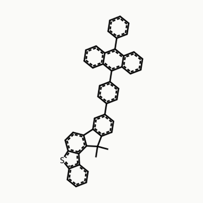 CC1(C)c2ccc(-c3ccc(-c4c5ccccc5c(-c5ccccc5)c5ccccc45)cc3)cc2-c2ccc3sc4ccccc4c3c21